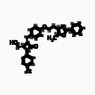 CCc1ccc(N2C(=O)[C@@H](Cc3ccc(OCCc4nc(-c5ccccc5)oc4C)cc3)[C@H]2CO)cc1